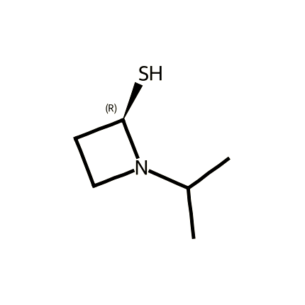 CC(C)N1CC[C@H]1S